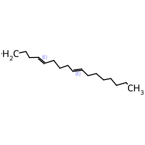 [CH2]CC/C=C/CCC/C=C/CCCCCCC